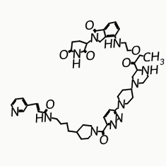 CC(OCCNc1cccc2c1CN(C1CCC(=O)NC1=O)C2=O)C(=O)C1CN(C2CCN(c3ccc(C(=O)N4CCC(CCCCNC(=O)/C=C/c5cccnc5)CC4)nn3)CC2)CCN1